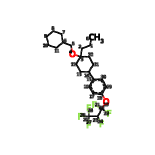 CCCC1(OCC2CCCCC2)CCC(c2ccc(OC(F)(F)C(F)C(F)(F)F)cc2)CC1